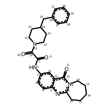 O=C(Nc1ccc2nc3n(c(=O)c2c1)CCCCC3)C(=O)N1CCC(Cc2ccccc2)CC1